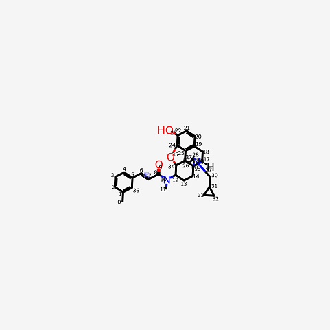 Cc1cccc(/C=C/C(=O)N(C)C2CC[C@@]3(C)[C@H]4Cc5ccc(O)c6c5[C@@]3(CCN4CC3CC3)C2O6)c1